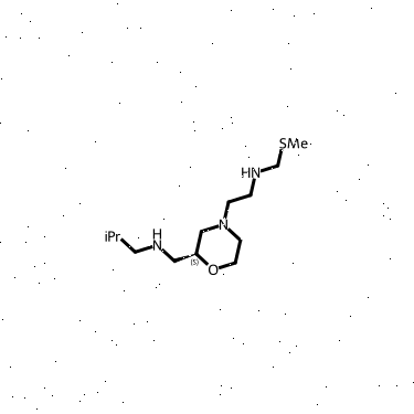 CSCNCCN1CCO[C@@H](CNCC(C)C)C1